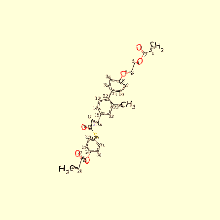 C=CC(=O)OCCOc1ccc(-c2ccc(/C=C/C(=O)Sc3ccc(OC(=O)C=C)cc3)cc2C)cc1